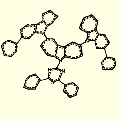 c1ccc(-c2ccc3c4ccccc4n(-c4ccc5c(c4)c4cc(-n6c7ccccc7c7ccc(-c8ccccc8)cc76)ccc4n5-c4nc(-c5ccccc5)nc(-c5ccccc5)n4)c3c2)cc1